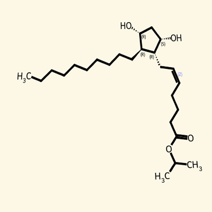 CCCCCCCCCC[C@@H]1[C@@H](C/C=C\CCCC(=O)OC(C)C)[C@@H](O)C[C@H]1O